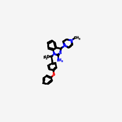 CC(c1ccc(Oc2ccccc2)cc1)N1C(N)=NC(N2CCN(C)CC2)c2ccccc21